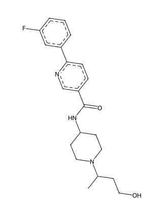 CC(CCO)N1CCC(NC(=O)c2ccc(-c3cccc(F)c3)nc2)CC1